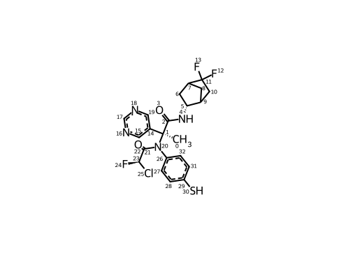 C[C@@](C(=O)N[C@@H]1CC2CC1CC2(F)F)(c1cncnc1)N(C(=O)[C@H](F)Cl)c1ccc(S)cc1